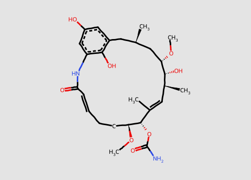 CO[C@H]1C[C@H](C)Cc2cc(O)cc(c2O)NC(=O)/C=C/CC[C@H](OC)[C@@H](OC(N)=O)/C(C)=C/[C@H](C)[C@H]1O